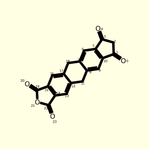 O=C1CC(=O)c2cc3c(cc21)Cc1cc2c(cc1C3)C(=O)OC2=O